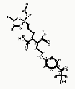 CCO[Si](CCCC(C(=O)O)C(CCOc1ccc(C(=O)C(C)(C)O)cc1)C(=O)O)(OCC)OCC